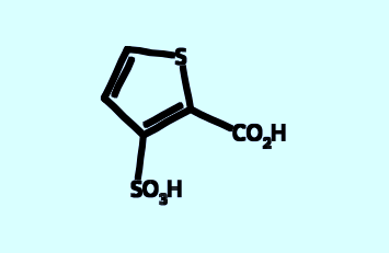 O=C(O)c1sccc1S(=O)(=O)O